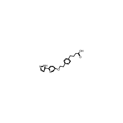 O=C(O)CCCc1ccc(CCOc2ccc(-c3ccn[nH]3)nc2)cc1